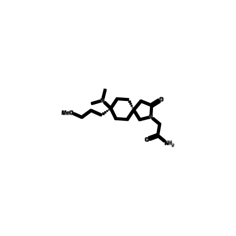 COCCC[C@]1(N(C)C)CC[C@]2(CC1)CC(=O)N(CC(N)=O)C2